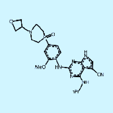 CCCNc1nc(Nc2ccc(P3(=O)CCN(C4COC4)CC3)cc2OC)nc2[nH]cc(C#N)c12